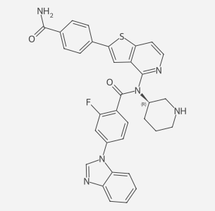 NC(=O)c1ccc(-c2cc3c(N(C(=O)c4ccc(-n5cnc6ccccc65)cc4F)[C@@H]4CCCNC4)nccc3s2)cc1